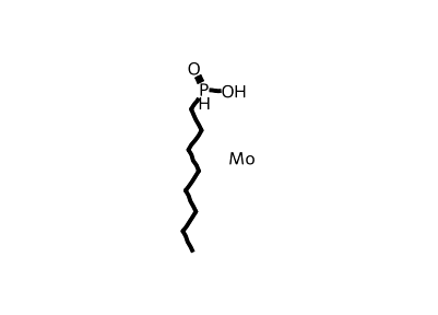 CCCCCCCC[PH](=O)O.[Mo]